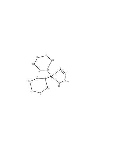 C1=CC(C2CCCCC2)(C2CCCCC2)SS1